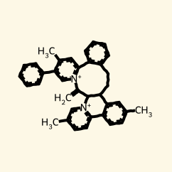 C=C1C2C(CCc3ccccc3-c3cc(C)c(-c4ccccc4)c[n+]31)c1cc(C)ccc1-c1ccc(C)c[n+]12